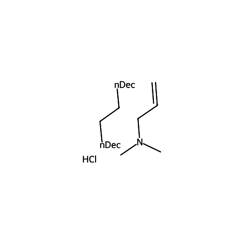 C=CCN(C)C.CCCCCCCCCCCCCCCCCCCCCC.Cl